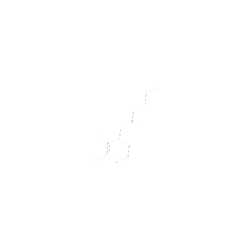 C=CCOC(=O)Oc1cccc(Cl)c1Cl